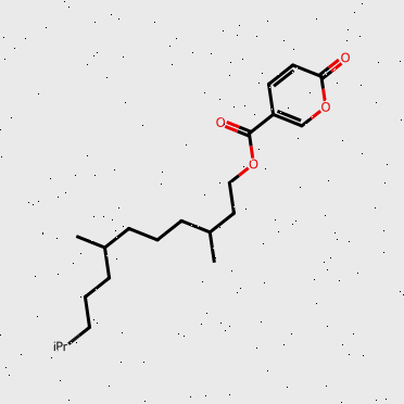 CC(C)CCCC(C)CCCC(C)CCOC(=O)c1ccc(=O)oc1